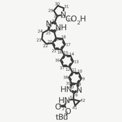 CC(C)(C)OC(=O)NC1(c2nc3ccc(-c4ccc(-c5ccc6c(c5)CCCc5nc(C7CCCN7C(=O)O)[nH]c5-6)cc4)cc3[nH]2)CC1